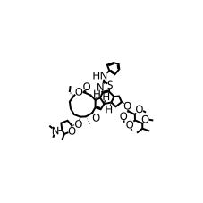 CC[C@H]1CCC[C@H](O[C@H]2CC[C@H](N(C)C)C(C)O2)[C@@H](C)C(=O)C2=C[C@@H]3C(c4nc(Nc5ccccc5)sc4C4C[C@@H](OC(OC)C(OC)C(OC)C(OC)C(C)C)C[C@H]43)[C@@H]2CC(=O)O1